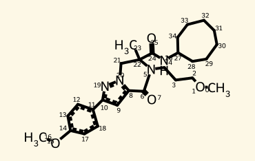 COCCCN1C(=O)c2cc(-c3ccc(OC)cc3)nn2CC1(C)C(=O)NC1CCCCCCC1